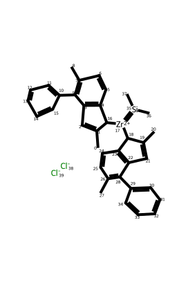 CC1=Cc2c(ccc(C)c2-c2ccccc2)[CH]1[Zr+2]([CH]1C(C)=Cc2c1ccc(C)c2-c1ccccc1)=[Si](C)C.[Cl-].[Cl-]